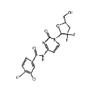 O=C(Nc1ccn(C2OC(CO)CC2(F)F)c(=O)n1)c1ccc(Cl)c(Cl)c1